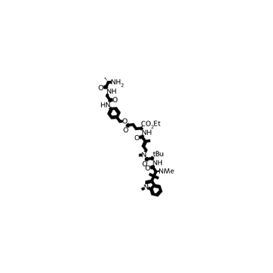 CCOC(=O)[C@@H](CCC(=O)OCc1ccc(NC(=O)CNC(=O)[C@H](C)N)cc1)NC(=O)/C(C)=C/CN(C)C(=O)C(NC(=O)[C@@H](NC)C(C)(C)c1cn(C)c2ccccc12)C(C)(C)C